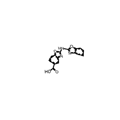 O=C(O)c1ccc2oc(Nc3nc4ccccc4o3)nc2c1